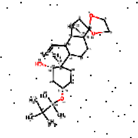 C=C[C@H]1C2CCC3(OCCO3)[C@@]2(C)CCC1[C@@]1(C)CC[C@H](O[Si](C)(C)C(C)(C)C)C[C@@H]1O